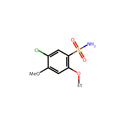 CCOc1cc(OC)c(Cl)cc1S(N)(=O)=O